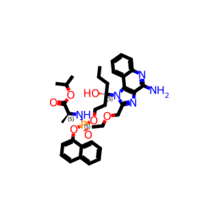 CCC[C@](O)(CCO[P@@](=O)(N[C@@H](C)C(=O)OC(C)C)Oc1cccc2ccccc12)n1c(COCC)nc2c(N)nc3ccccc3c21